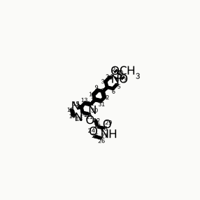 CS(=O)(=O)N1CCC(c2ccc(-c3cc4nccnc4c(OCC4OCCNC4=O)n3)cc2)CC1